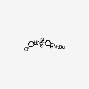 CC(C)(C)NCc1ccc(S(=O)(=O)NCc2cccc(Cl)c2)cc1